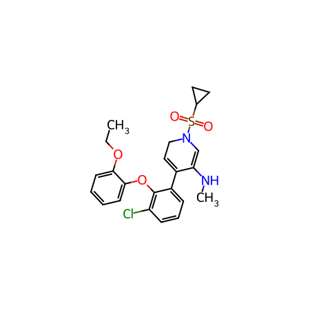 CCOc1ccccc1Oc1c(Cl)cccc1C1=CCN(S(=O)(=O)C2CC2)C=C1NC